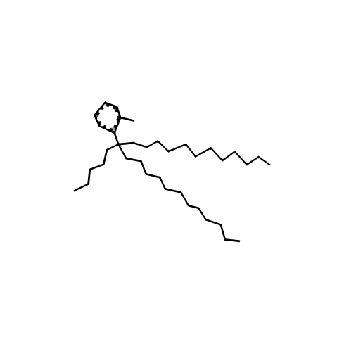 CCCCCCCCCCCCC(CCCCC)(CCCCCCCCCCCC)c1ccccc1O